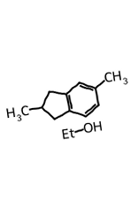 CCO.Cc1ccc2c(c1)CC(C)C2